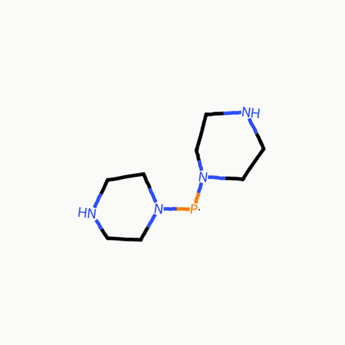 C1CN([P]N2CCNCC2)CCN1